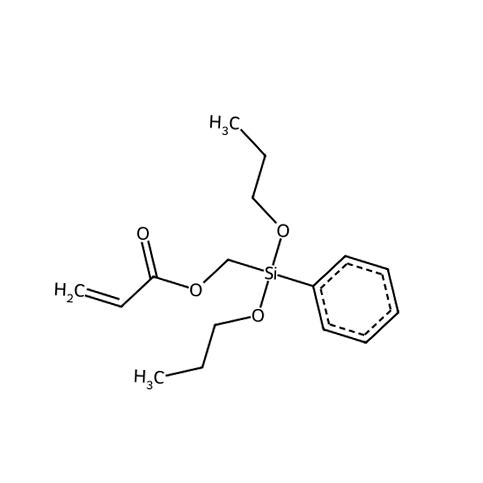 C=CC(=O)OC[Si](OCCC)(OCCC)c1ccccc1